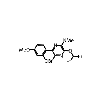 CCC(CC)Oc1nc(Br)c(-c2ccc(OC)cc2Cl)nc1NC